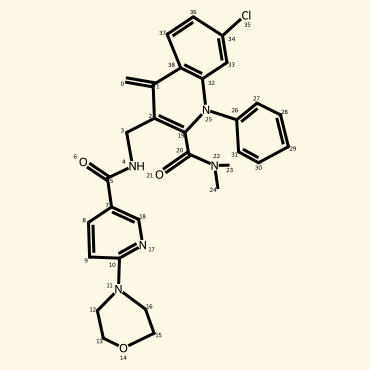 C=C1C(CNC(=O)c2ccc(N3CCOCC3)nc2)=C(C(=O)N(C)C)N(c2ccccc2)c2cc(Cl)ccc21